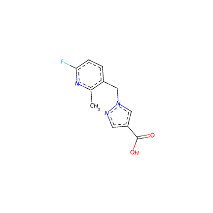 Cc1nc(F)ccc1Cn1cc(C(=O)O)cn1